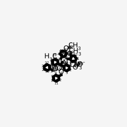 Cc1ccc(OCc2ccccc2)c(C(O)(c2cc(C)ccc2OCc2ccccc2)[C@H](Cc2ccc(OC(C)C)cc2)N=Cc2cc([N+](=O)[O-])ccc2O)c1